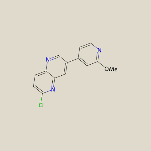 COc1cc(-c2cnc3ccc(Cl)nc3c2)ccn1